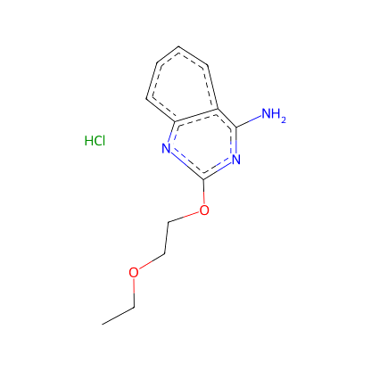 CCOCCOc1nc(N)c2ccccc2n1.Cl